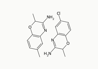 CC1Oc2ccc(Cl)cc2N=C1N.Cc1ccc2c(c1)N=C(N)C(C)O2